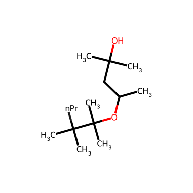 CCCC(C)(C)C(C)(C)OC(C)CC(C)(C)O